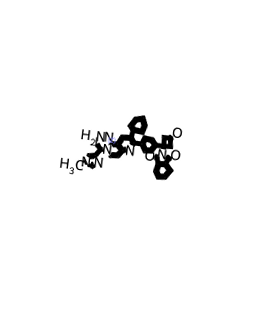 Cn1cnc(C(I)n2ccc3nc(-c4ccc(C5(N6C(=O)c7ccccc7C6=O)CC(=O)C5)cc4)c(-c4ccccc4)cc3/c2=N/N)c1